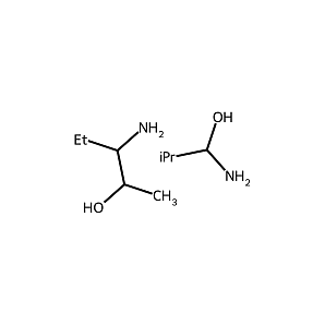 CC(C)C(N)O.CCC(N)C(C)O